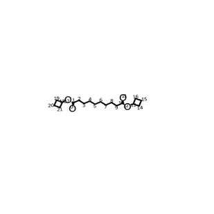 O=C(CCCCCCCCC(=O)OC1CCC1)OC1CCC1